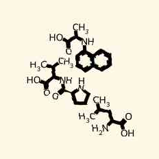 CC(C)C(NC(=O)[C@@H]1CCCN1)C(=O)O.CC(C)CC(N)C(=O)O.CC(Nc1cccc2ccccc12)C(=O)O